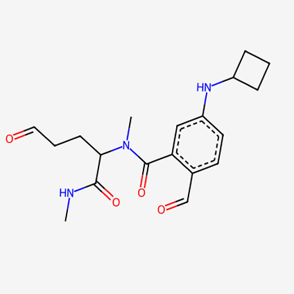 CNC(=O)C(CCC=O)N(C)C(=O)c1cc(NC2CCC2)ccc1C=O